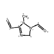 CN1C(C=O)=NCN1C=O